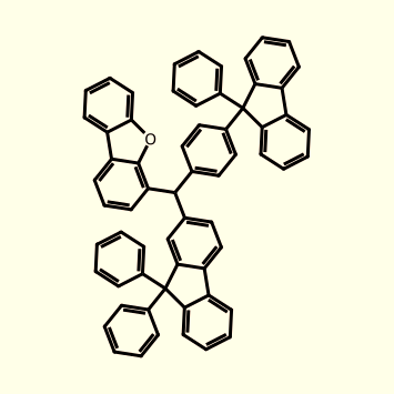 c1ccc(C2(c3ccc(C(c4ccc5c(c4)C(c4ccccc4)(c4ccccc4)c4ccccc4-5)c4cccc5c4oc4ccccc45)cc3)c3ccccc3-c3ccccc32)cc1